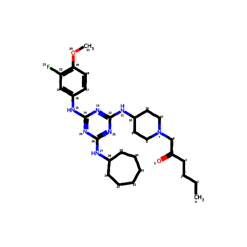 CCCCC(=O)CN1CCC(Nc2nc(Nc3ccc(OC)c(F)c3)nc(NC3CCCCCC3)n2)CC1